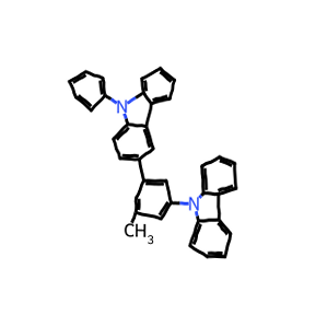 Cc1cc(-c2ccc3c(c2)c2ccccc2n3-c2ccccc2)cc(-n2c3ccccc3c3ccccc32)c1